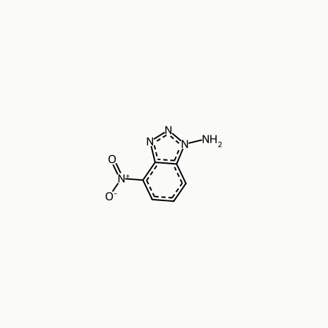 Nn1nnc2c([N+](=O)[O-])cccc21